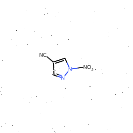 N#Cc1cnn([N+](=O)[O-])c1